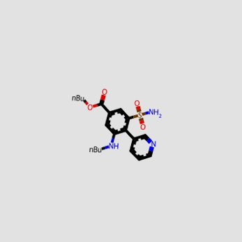 CCCCNc1cc(C(=O)OCCCC)cc(S(N)(=O)=O)c1-c1cccnc1